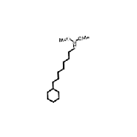 CO[SiH](CCCCCCCCC1CCCCC1)OC